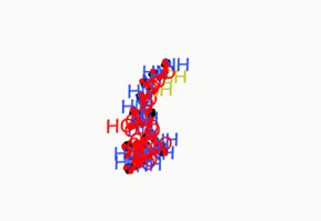 CC(C)C[C@H](NC(=O)[C@H](Cc1ccccc1)NC(=O)[C@H](CCC(=O)O)NC(=O)[C@@H]1CCCN1C(=O)[C@H](C)NC(=O)[C@@H]1CCCN1C(=O)[C@H](CS)NC(=O)[C@@H]1CCCN1C(=O)[C@@H]1CCCN1C(=O)[C@H](CS)NC(=O)[C@@H]1CCCN1)C(=O)NCC(=O)NCC(=O)N1CCC[C@H]1C(=O)N[C@@H](CO)C(=O)N[C@H](C(=O)N[C@@H](Cc1ccccc1)C(=O)N[C@@H](CC(C)C)C(=O)N[C@@H](Cc1ccccc1)C(=O)N1CCC[C@H]1C(=O)O)C(C)C